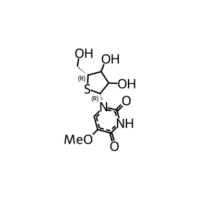 COc1cn([C@@H]2S[C@H](CO)C(O)C2O)c(=O)[nH]c1=O